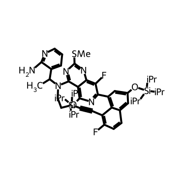 CSc1nc2c3c(nc(-c4cc(O[Si](C(C)C)(C(C)C)C(C)C)cc5ccc(F)c(C#C[Si](C(C)C)(C(C)C)C(C)C)c45)c(F)c3n1)OCCN2C(C)c1cccnc1N